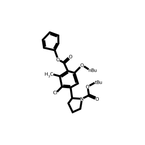 CCCCOc1cc(C2CCCN2C(=O)OC(C)(C)C)c(Cl)c(C)c1C(=O)Oc1ccccc1